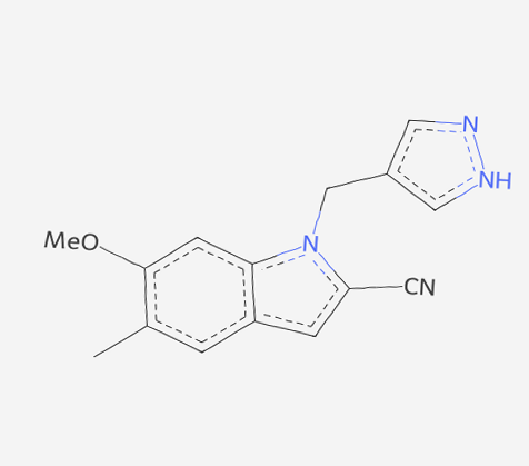 COc1cc2c(cc1C)cc(C#N)n2Cc1cn[nH]c1